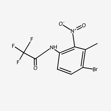 Cc1c(Br)ccc(NC(=O)C(F)(F)F)c1[N+](=O)[O-]